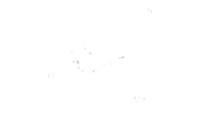 COc1ccc2c3c1O[C@H]1[C@@H](OC(=O)CN)C=C[C@H]4[C@@H](C2)N(C)CC[C@@]341